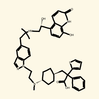 CN(CCn1ncc2cc(CC(C)(C)NC[C@H](O)c3ccc(O)c4[nH]c(=O)ccc34)ccc21)[C@H]1CC[C@H](CC(C(=O)O)(c2ccccc2)c2cccs2)CC1